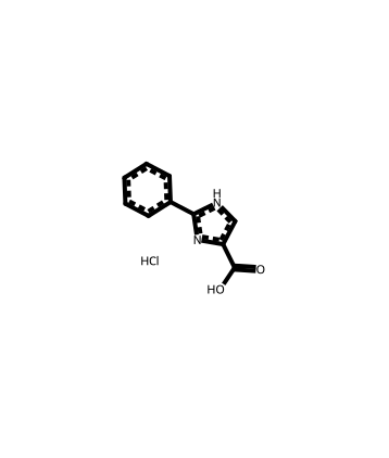 Cl.O=C(O)c1c[nH]c(-c2ccccc2)n1